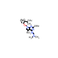 CSc1nc(/N=C/N(C)C)c2c([N+](=O)[O-])cn(CO[C@H](COC(C)=O)[C@@H](OC(C)=O)C(C)OC(C)=O)c2n1